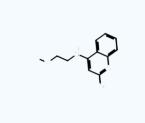 COCCNc1cc(O)nc2ccccc12